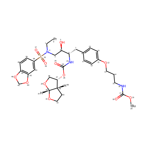 CC(C)CN(C[C@@H](O)[C@H](Cc1ccc(OCCCNC(=O)OC(C)(C)C)cc1)NC(=O)O[C@H]1CO[C@H]2OCC[C@H]21)S(=O)(=O)c1ccc2c(c1)OCO2